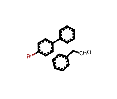 Brc1ccc(-c2ccccc2)cc1.O=CCc1ccccc1